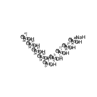 C[As](C)(=O)O.C[As](C)(=O)O.C[As](C)(=O)O.C[As](C)(=O)O.C[As](C)(=O)O.C[As](C)(=O)O.C[As](C)(=O)O.C[As](C)(=O)O.C[As](C)(=O)O.[NaH]